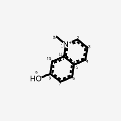 [CH2][n+]1cccc2ccc(O)cc21